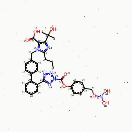 CCCc1nc(C(C)(C)O)c(C(=O)O)n1Cc1ccc(-c2ccccc2-c2nnn(C(=O)Oc3ccc(CON(O)O)cc3)n2)cc1